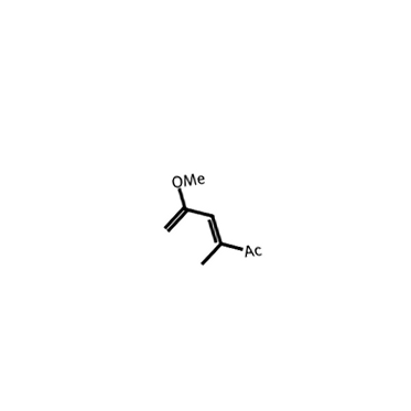 C=C(/C=C(\C)C(C)=O)OC